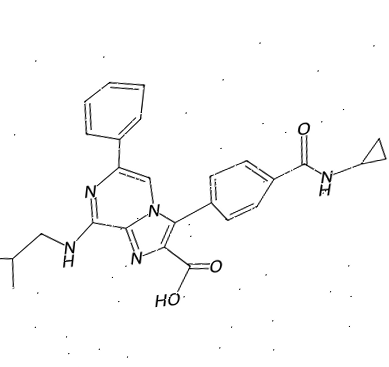 CC(C)CNc1nc(-c2ccccc2)cn2c(-c3ccc(C(=O)NC4CC4)cc3)c(C(=O)O)nc12